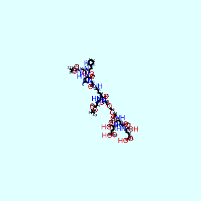 CC(C)CC(NC(=O)C(Cc1ccccc1)NC(=O)CNC(=O)OC(C)(C)C)C(=O)NCC(=O)NCCCCC(NC(=O)CCC(=O)OC(C)(C)C)C(=O)NCCOCCOCC(=O)NC(CCC(=O)NC(CCC1OC1O)C(=O)O)C(=O)NC(CCC(=O)O)C(=O)O